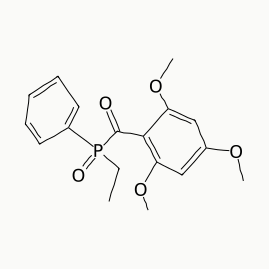 CCP(=O)(C(=O)c1c(OC)cc(OC)cc1OC)c1ccccc1